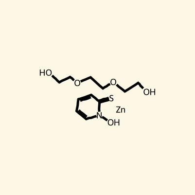 OCCOCCOCCO.On1ccccc1=S.[Zn]